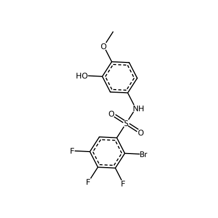 COc1ccc(NS(=O)(=O)c2cc(F)c(F)c(F)c2Br)cc1O